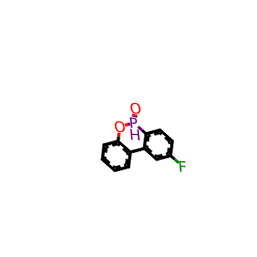 O=[PH]1Oc2ccccc2-c2cc(F)ccc21